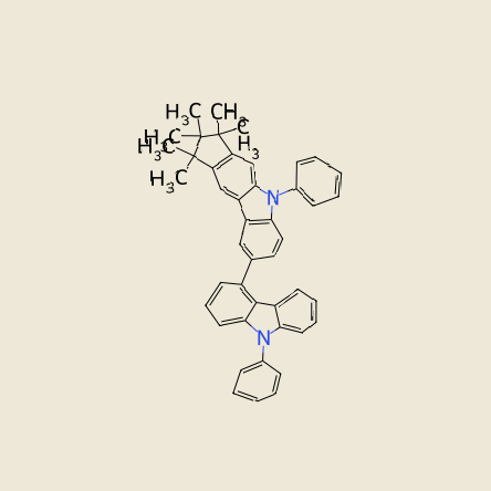 CC1(C)c2cc3c4cc(-c5cccc6c5c5ccccc5n6-c5ccccc5)ccc4n(-c4ccccc4)c3cc2C(C)(C)C1(C)C